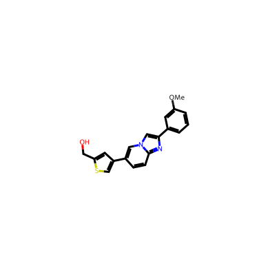 COc1cccc(-c2cn3cc(-c4csc(CO)c4)ccc3n2)c1